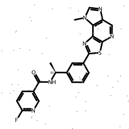 C[C@H](NC(=O)c1ccc(F)nc1)c1cccc(-c2nc3c(ncc4ncn(C)c43)s2)c1